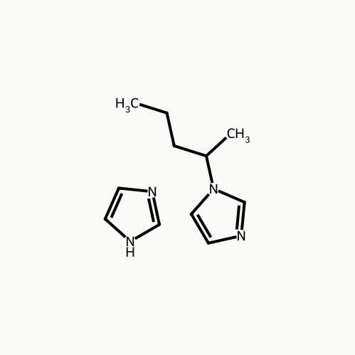 CCCC(C)n1ccnc1.c1c[nH]cn1